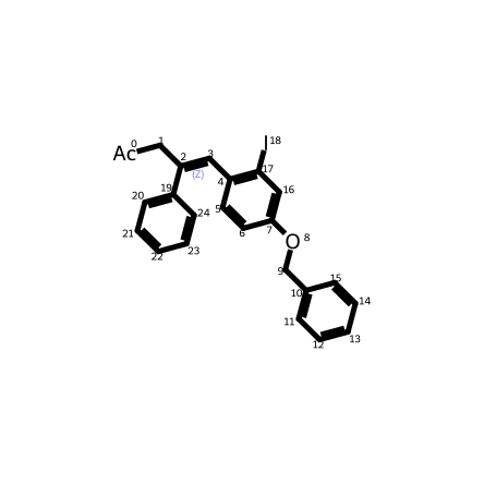 CC(=O)C/C(=C/c1ccc(OCc2ccccc2)cc1I)c1ccccc1